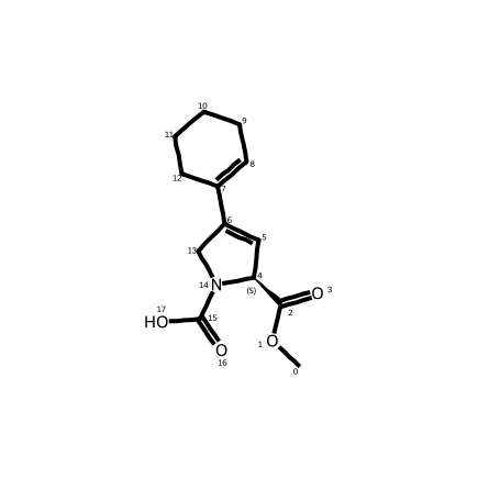 COC(=O)[C@@H]1C=C(C2=CCCCC2)CN1C(=O)O